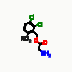 NCC(=O)OCc1c([N+](=O)[O-])ccc(Cl)c1Cl